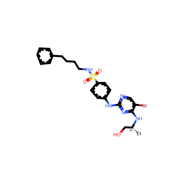 CC[C@H](CO)Nc1nc(Nc2ccc(S(=O)(=O)NCCCCc3ccccc3)cc2)ncc1Br